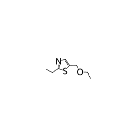 CCOCc1cnc(CC)s1